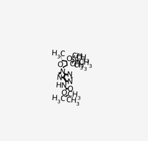 CC[C@H]1O[C@@H](n2cnc3c(NC(=O)OC(C)(C)C)ncnc32)C[C@H]1O[Si](C)(C)C(C)(C)C